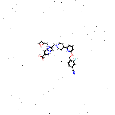 N#Cc1ccc(COc2cccc(C3CCN(Cc4cn5cc(C(=O)O)cc5n4CC4CCO4)CC3)n2)c(F)c1